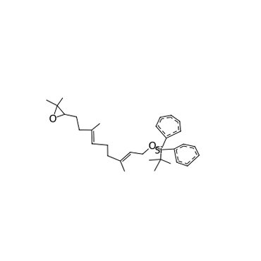 C/C(=C\CO[Si](c1ccccc1)(c1ccccc1)C(C)(C)C)CC/C=C(\C)CCC1OC1(C)C